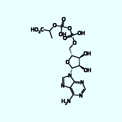 CC(OP(=O)(O)OP(=O)(O)OC[C@H]1O[C@@H](n2cnc3c(N)ncnc32)[C@H](O)[C@@H]1O)C(=O)O